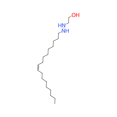 CCCCCCCC/C=C\CCCCCCCCNNCCO